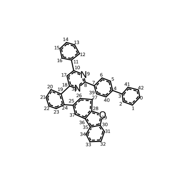 c1ccc(-c2ccc(-c3nc(-c4ccccc4)cc(-c4ccccc4-c4ccc5oc6ccccc6c5c4)n3)cc2)cc1